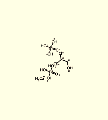 O=P(O)(O)O.O=P(O)(O)O.OCC(Cl)Cl.[CaH2]